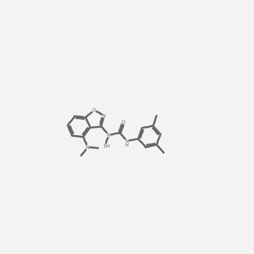 Cc1cc(C)cc(NC(=O)N(S)c2noc3cccc(N(C)C)c23)c1